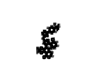 Cc1c(-c2cc(Cn3nnc(-c4ccc(C(F)(F)F)cc4)n3)nn2-c2ncccc2Cl)c2c(c3c(=O)ocnc13)OC(F)(F)O2